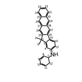 CC1(C)c2cc(NC3C=CC=CC3)ccc2-c2cc3cc4ccccc4cc3cc21